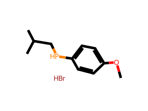 Br.COc1ccc(PCC(C)C)cc1